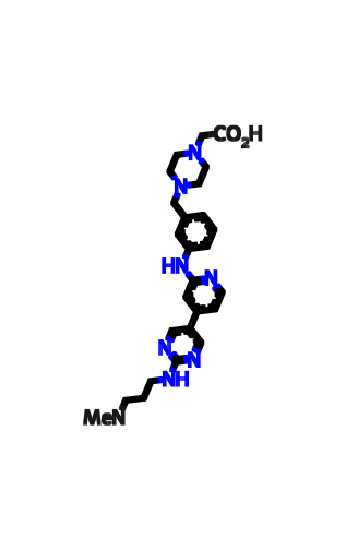 CNCCCNc1ncc(-c2ccnc(Nc3cccc(CN4CCN(CC(=O)O)CC4)c3)c2)cn1